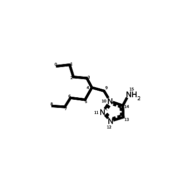 CCCCC(CCCC)Cn1nncc1N